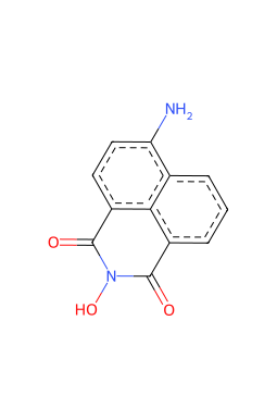 Nc1ccc2c3c(cccc13)C(=O)N(O)C2=O